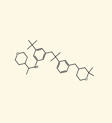 CC(Nc1cc(CC(C)(C)c2cccc(CC3CCOC(C)(C)C3)c2)cc(C(C)(C)C)c1)C1CCOCC1